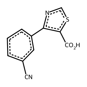 N#Cc1cccc(-c2ncsc2C(=O)O)c1